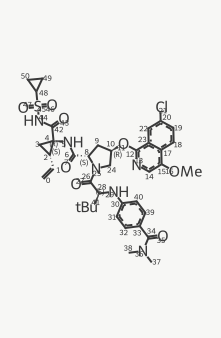 C=C[C@@H]1C[C@]1(NC(=O)[C@@H]1C[C@@H](Oc2ncc(OC)c3ccc(Cl)cc23)CN1C(=O)[C@@H](Nc1ccc(C(=O)N(C)C)cc1)C(C)(C)C)C(=O)NS(=O)(=O)C1CC1